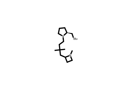 CN1CCC1CC(C)(C)CCN1CCC[C@H]1CC(C)(C)C